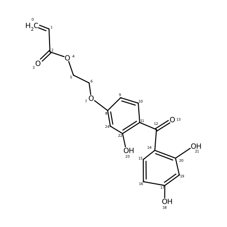 C=CC(=O)OCCOc1ccc(C(=O)c2ccc(O)cc2O)c(O)c1